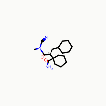 CN(C#N)C(=O)[C@@H](CC1CCCCC1)C1(C(N)=O)CCCCC1